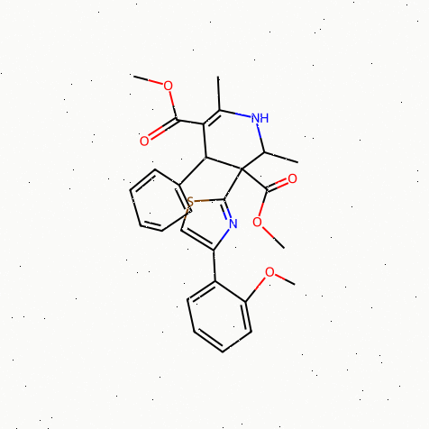 COC(=O)C1=C(C)NC(C)C(C(=O)OC)(c2nc(-c3ccccc3OC)cs2)C1c1ccccc1